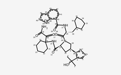 CC(C)(O)c1cnnn1[C@H]1C[C@@H](C(=O)NC2(C(=O)C(N)=O)CCCCC2)N(C(=O)[C@@H](CC2CCCCC2)NC(=O)c2cccc3cn[nH]c23)C1